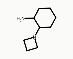 NC1CCCC[C]1N1CCC1